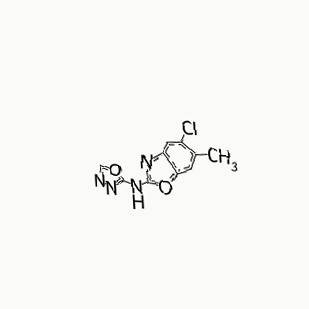 Cc1cc2oc(Nc3nnco3)nc2cc1Cl